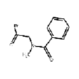 CC(C)C(=O)CN(C)C(=O)c1ccccc1